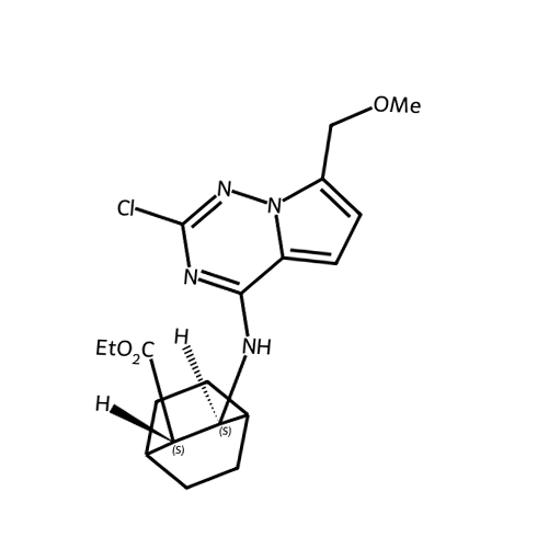 CCOC(=O)[C@H]1C2CCC(CC2)[C@@H]1Nc1nc(Cl)nn2c(COC)ccc12